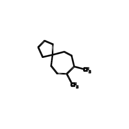 FC(F)(F)C1CCC2(CCCC2)CCC1C(F)(F)F